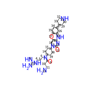 N=C(N)NCCCN(C(=O)CCN)[C@H]1CC[C@H](n2cc3c(nc2=O)Nc2cc(C4CCNCC4)ccc2O3)CC1